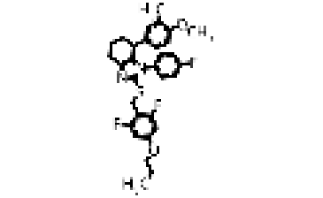 CCCOc1cc(F)c(CSc2nc3c(n2-c2ccc(F)cc2)C(c2ccc(OC)c(C)c2)CCC3)c(F)c1